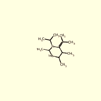 CC(C)=C1C(C)C(C)BC(C)N1C(C)C